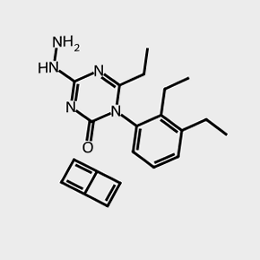 CCc1cccc(-n2c(CC)nc(NN)nc2=O)c1CC.c1cc2ccc1-2